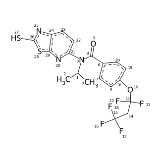 CC(C)N(C(=O)c1ccc(OC(F)(F)CC(F)(F)F)cc1)c1ccc2nc(S)sc2n1